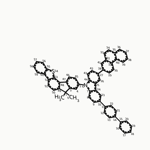 CC1(C)c2cc(-n3c4ccc(-c5ccc(-c6ccccc6)cc5)cc4c4cc(-c5ccc6c(ccc7ccccc76)c5)ccc43)ccc2-c2c1ccc1c2sc2ccccc21